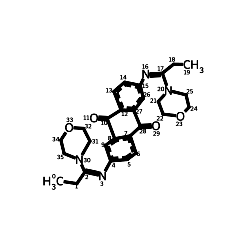 CCC(=Nc1ccc2c(c1)C(=O)c1ccc(N=C(CC)N3CCOCC3)cc1C2=O)N1CCOCC1